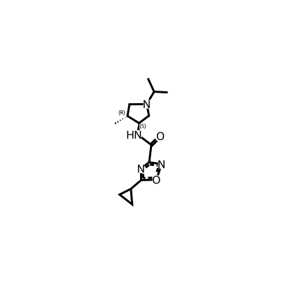 CC(C)N1C[C@@H](C)[C@H](NC(=O)c2noc(C3CC3)n2)C1